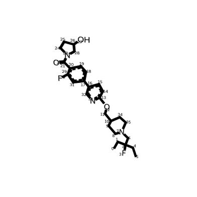 CCC(F)(CC)CN1CCC(COc2ccc(-c3ccc(C(=O)N4CCC(O)C4)c(F)c3)cn2)CC1